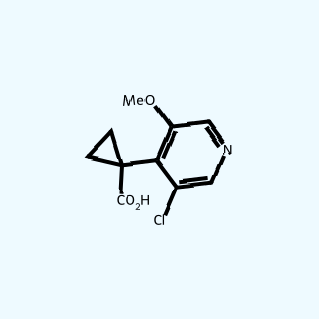 COc1cncc(Cl)c1C1(C(=O)O)CC1